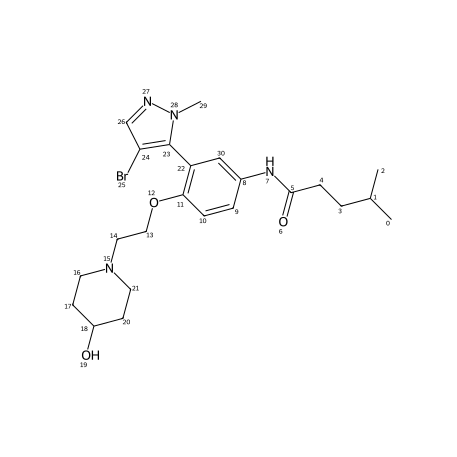 CC(C)CCC(=O)Nc1ccc(OCCN2CCC(O)CC2)c(-c2c(Br)cnn2C)c1